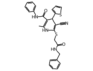 CC1=C(C(=O)Nc2ccccc2)C(c2cccs2)C(C#N)=C(SCC(=O)NCc2ccccc2)N1